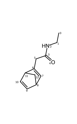 CCNC(=O)CC1=CC2C=CC1C2